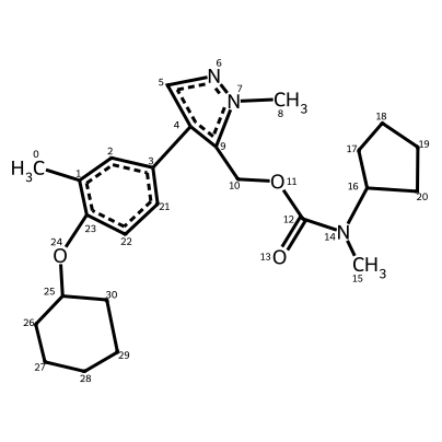 Cc1cc(-c2cnn(C)c2COC(=O)N(C)C2CCCC2)ccc1OC1CCCCC1